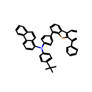 C=Cc1c(C(=C)c2ccccc2)sc2c(-c3ccc(N(c4ccc(C(C)(C)C)cc4)c4cccc5c4ccc4ccccc45)cc3)cccc12